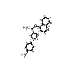 Cc1ccc(-n2cc(C(C)Oc3ccnc4ccccc34)nn2)cc1